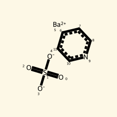 O=S(=O)([O-])[O-].[Ba+2].c1ccncc1